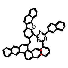 c1ccc(-c2nc(-c3ccc4ccccc4c3)nc(-c3c(Cc4cc5cc6ccccc6cc5c5ccc6ccccc6c45)ccc4c3oc3c5ccccc5ccc43)n2)cc1